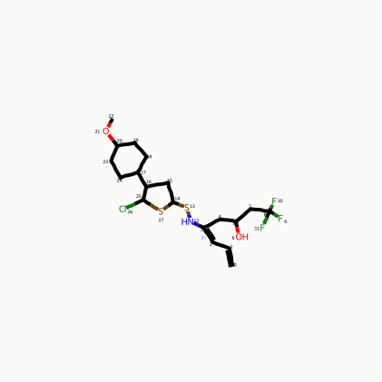 C=C/C=C(\CC(O)CC(F)(F)F)NSC1CC(C2CCC(OC)CC2)C(Cl)S1